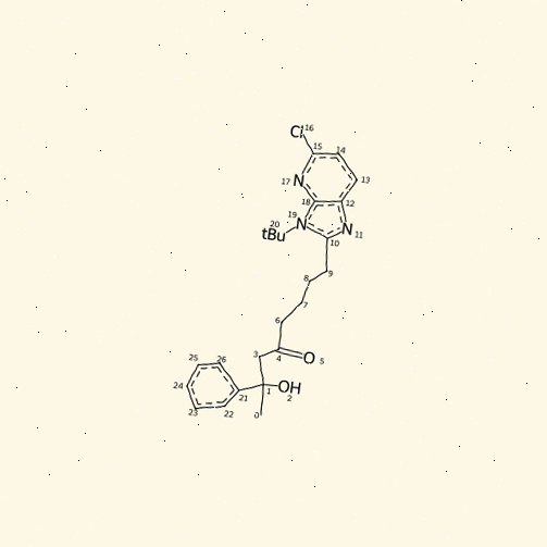 CC(O)(CC(=O)CCCCc1nc2ccc(Cl)nc2n1C(C)(C)C)c1ccccc1